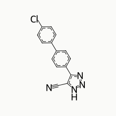 N#Cc1[nH]nnc1-c1ccc(-c2ccc(Cl)cc2)cc1